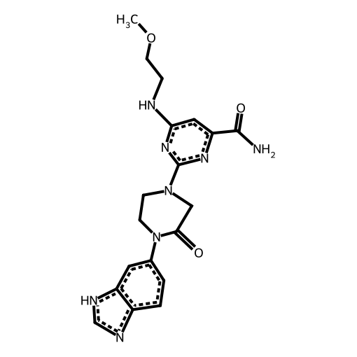 COCCNc1cc(C(N)=O)nc(N2CCN(c3ccc4nc[nH]c4c3)C(=O)C2)n1